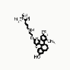 Cc1cc(C(F)(F)F)ccc1C1=C(c2cnc(OCCNC/C=C/C(=O)N(C)C)cc2F)c2ccc(O)cc2CCC1